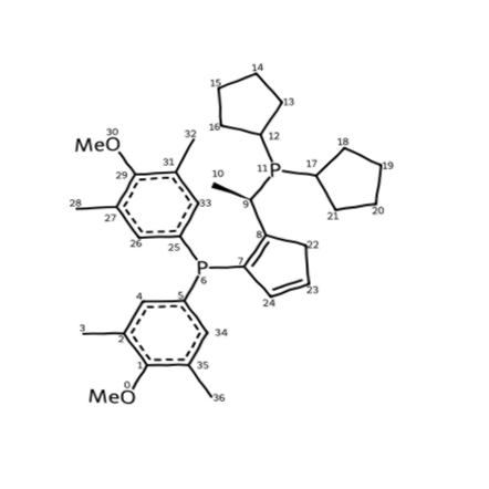 COc1c(C)cc(P(C2=C([C@@H](C)P(C3CCCC3)C3CCCC3)CC=C2)c2cc(C)c(OC)c(C)c2)cc1C